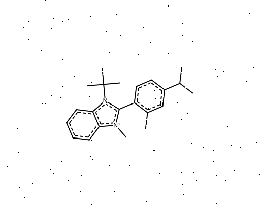 Cc1cc(C(C)C)ccc1-c1n(C(C)(C)C)c2ccccc2[n+]1C